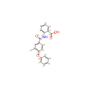 Cc1cc(C(=O)Nc2ccccc2C(=O)O)ccc1Oc1ccccc1